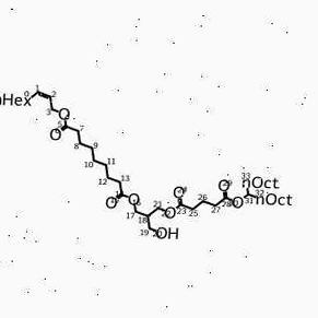 CCCCCC/C=C\COC(=O)CCCCCCCC(=O)OCC(CO)COC(=O)CCCC(=O)OC(CCCCCCCC)CCCCCCCC